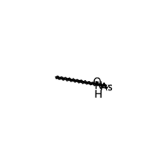 CCCCCCCCCCCCCCCCCCCCCC(=O)NCCC[As](C)C